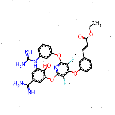 CCOC(=O)C=Cc1cccc(Oc2c(F)c(Oc3cccc(NC(=N)N)c3)nc(Oc3cc(C(=N)N)ccc3O)c2F)c1